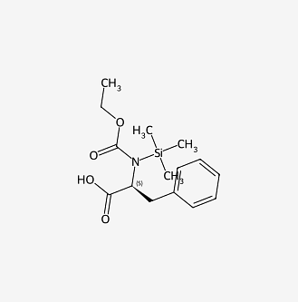 CCOC(=O)N([C@@H](Cc1ccccc1)C(=O)O)[Si](C)(C)C